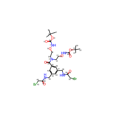 CC(C)(C)OC(=O)NOCCN(CCONC(=O)OC(C)(C)C)C(=O)c1cc(CNC(=O)CBr)cc(CNC(=O)CBr)c1